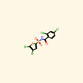 O=C(NS(=O)(=O)c1cc(Br)c(Br)s1)c1ccc(Cl)cc1Cl